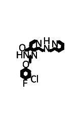 O=c1[nH]c(COc2ccc(F)c(Cl)c2)nc2c(CNCc3ccccn3)nccc12